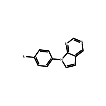 Brc1ccc(-n2ccc3cncnc32)cc1